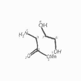 COC(=O)CN.OCCO